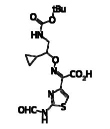 CC(C)(C)OC(=O)NCC(ON=C(C(=O)O)c1csc(NC=O)n1)C1CC1